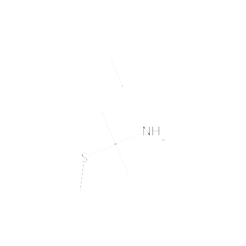 CCCC(C)(N)SC